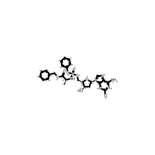 C[C@H](NP(=O)(OC[C@H]1O[C@@H](n2cnc3c(N)nc(Cl)nc32)C[C@H]1O)Oc1ccccc1)C(=O)OCc1ccccc1